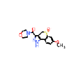 COc1ccc2c(c1)[S+]([O-])Cc1c(C(=O)N3CCOCC3)n[nH]c1-2